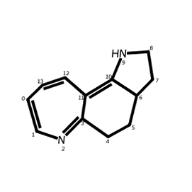 C1=CN=C2CCC3CCNC3=C2C=C1